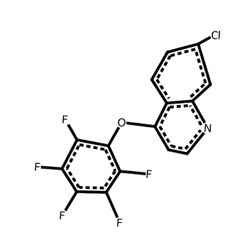 Fc1c(F)c(F)c(Oc2ccnc3cc(Cl)ccc23)c(F)c1F